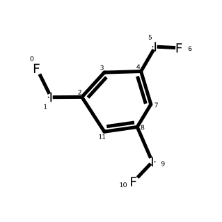 F[I]c1cc([I]F)cc([I]F)c1